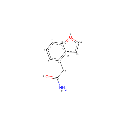 NC(=O)Cc1cccc2occc12